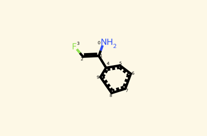 N/C(=C\F)c1ccccc1